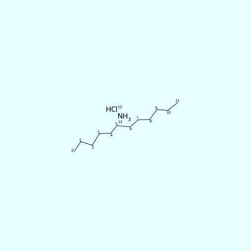 CCCCCCCCCCCC.Cl.N